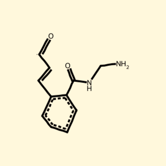 NCNC(=O)c1ccccc1/C=C/[C]=O